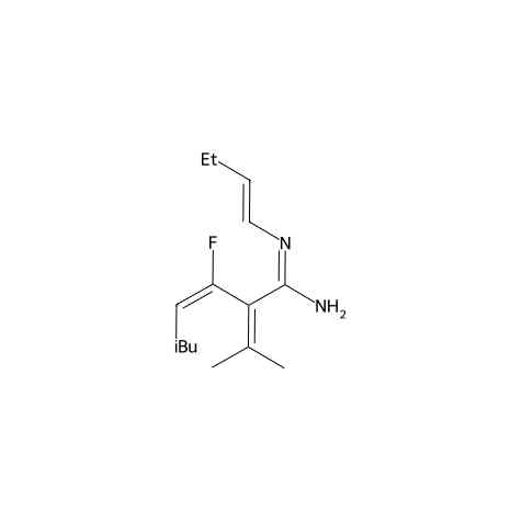 CC/C=C/N=C(/N)C(=C(C)C)/C(F)=C\C(C)CC